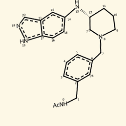 CC(=O)NCc1cccc(CN2CCC[C@@H](Nc3ccc4[nH]ncc4c3)C2)c1